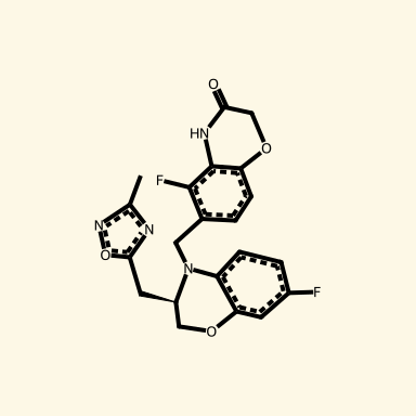 Cc1noc(C[C@@H]2COc3cc(F)ccc3N2Cc2ccc3c(c2F)NC(=O)CO3)n1